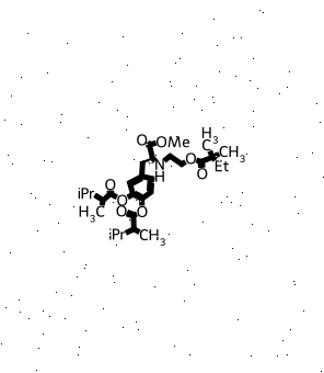 CCC(C)(C)C(=O)OCCN[C@@H](Cc1ccc(OC(=O)C(C)C(C)C)c(OC(=O)C(C)C(C)C)c1)C(=O)OC